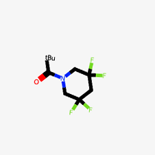 CC(C)(C)C(=O)N1CC(F)(F)CC(F)(F)C1